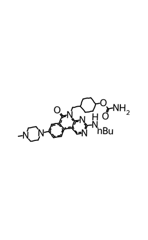 CCCCNc1ncc2c3ccc(N4CCN(C)CC4)cc3c(=O)n(CC3CCC(OC(N)=O)CC3)c2n1